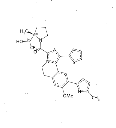 COc1cc2c(cc1-c1ccn(C)n1)-c1c(-c3cccs3)nc(C(=O)N3CCC[C@@]3(C)[C@@H](O)C(F)(F)F)n1CC2